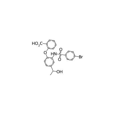 CC(O)c1ccc(Oc2ccccc2C(=O)O)c(NS(=O)(=O)c2ccc(Br)cc2)c1